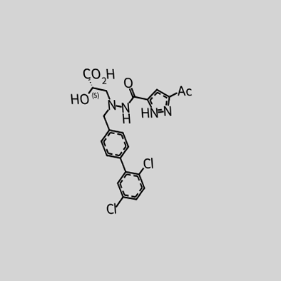 CC(=O)c1cc(C(=O)NN(Cc2ccc(-c3cc(Cl)ccc3Cl)cc2)C[C@H](O)C(=O)O)[nH]n1